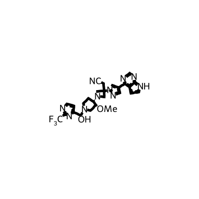 CO[C@@H]1CN(C(O)c2ccnc(C(F)(F)F)n2)CC[C@@H]1N1CC(CC#N)(n2cc(-c3ncnc4[nH]ccc34)cn2)C1